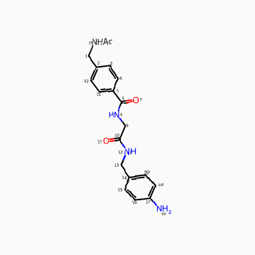 CC(=O)NCc1ccc(C(=O)NCC(=O)NCc2ccc(N)cc2)cc1